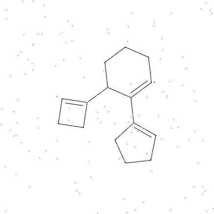 [C]1=C(C2=CCCC2)C(C2=CCC2)CCC1